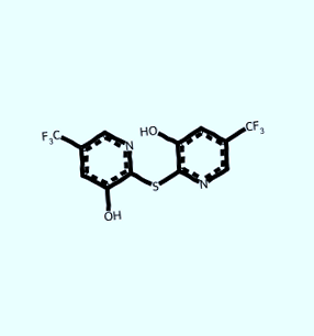 Oc1cc(C(F)(F)F)cnc1Sc1ncc(C(F)(F)F)cc1O